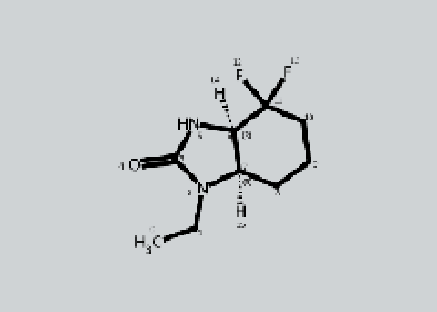 CCN1C(=O)N[C@@H]2[C@H]1CCCC2(F)F